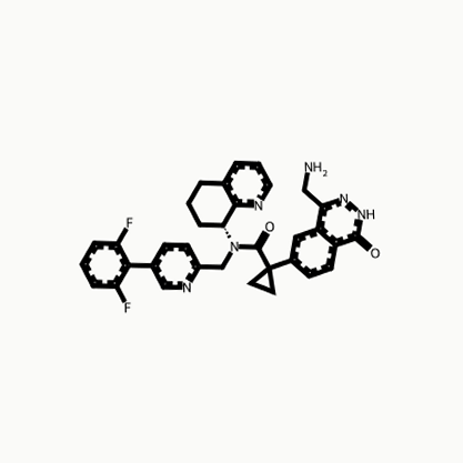 NCc1n[nH]c(=O)c2ccc(C3(C(=O)N(Cc4ccc(-c5c(F)cccc5F)cn4)[C@@H]4CCCc5cccnc54)CC3)cc12